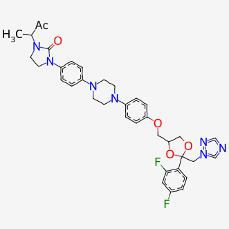 CC(=O)C(C)N1CCN(c2ccc(N3CCN(c4ccc(OCC5COC(Cn6cncn6)(c6ccc(F)cc6F)O5)cc4)CC3)cc2)C1=O